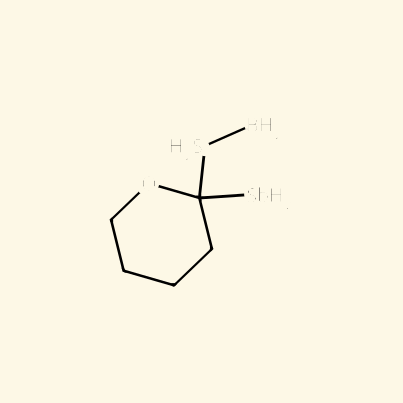 B[SiH2][C]1([SbH2])CCCCO1